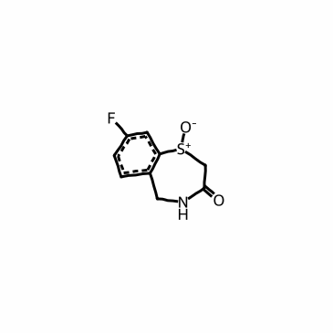 O=C1C[S+]([O-])c2cc(F)ccc2CN1